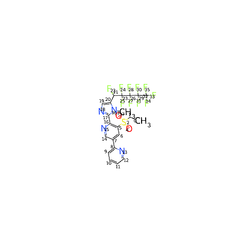 CCS(=O)(=O)c1cc(-c2ccccn2)cnc1-c1ncc([C@@H](F)C(F)(F)C(F)(F)C(F)(F)C(F)(F)F)n1C